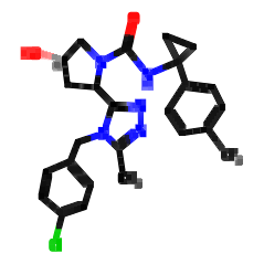 Cc1nnc(C2C[C@H](O)CN2C(=O)NC2(c3ccc(C(F)(F)F)cc3)CC2)n1Cc1ccc(Cl)cc1